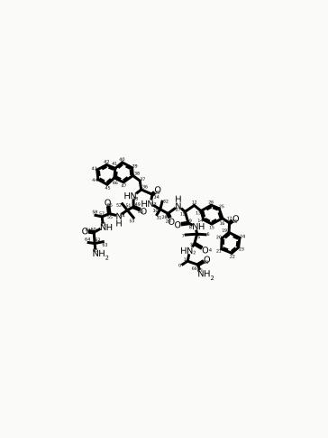 CC(NC(=O)C(C)(C)NC(=O)C(Cc1ccc(C(=O)c2ccccc2)cc1)NC(=O)C(C)(C)NC(=O)C(Cc1ccc2ccccc2c1)NC(=O)C(C)(C)NC(=O)C(C)NC(=O)C(C)(C)N)C(N)=O